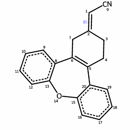 N#C/C=C1\CCC2=C(C1)c1ccccc1Oc1ccccc12